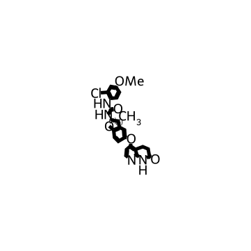 COc1ccc(NC(=O)N[C@@H]2Oc3ccc(Oc4ccnc5c4CCC(=O)N5)cc3[C@@H]2C)c(Cl)c1